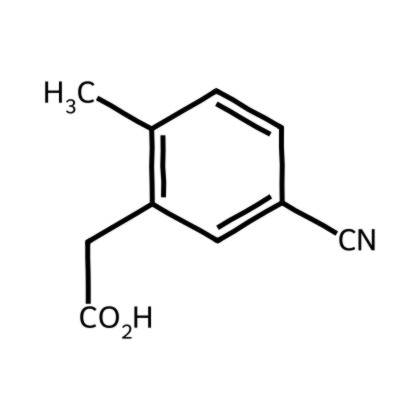 Cc1ccc(C#N)cc1CC(=O)O